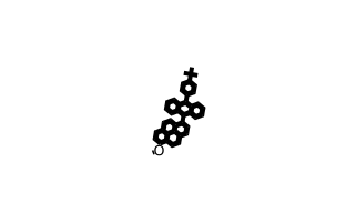 COc1ccc2ccc3c(-c4c5ccccc5c(-c5ccc(C(C)(C)C)cc5)c5ccccc45)ccc4ccc1c2c43